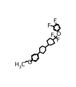 CCOc1ccc(C2CCC(C3CCC(C(F)(F)Oc4ccc(F)c(F)c4)CC3)CC2)cc1